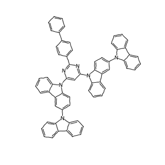 c1ccc(-c2ccc(-c3nc(-n4c5ccccc5c5cc(-n6c7ccccc7c7ccccc76)ccc54)cc(-n4c5ccccc5c5cc(-n6c7ccccc7c7ccccc76)ccc54)n3)cc2)cc1